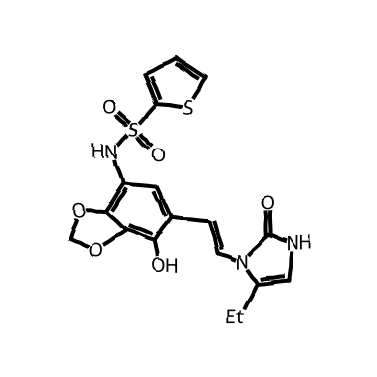 CCc1c[nH]c(=O)n1C=Cc1cc(NS(=O)(=O)c2cccs2)c2c(c1O)OCO2